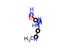 Cc1cc(-c2ccc(CNc3ncnc4cc(C5CNCCO5)ccc34)cc2)ccn1